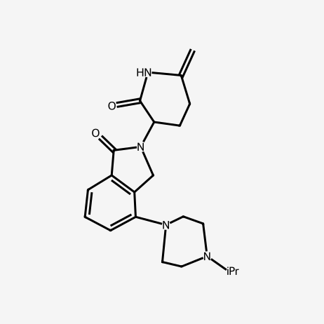 C=C1CCC(N2Cc3c(cccc3N3CCN(C(C)C)CC3)C2=O)C(=O)N1